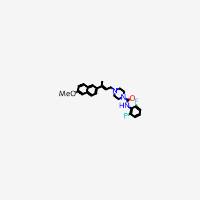 COc1ccc2cc(/C(C)=C/CN3CCN(C(=O)Nc4c(F)cccc4F)CC3)ccc2c1